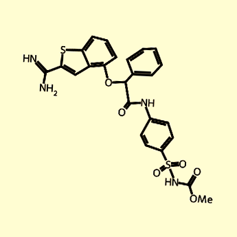 COC(=O)NS(=O)(=O)c1ccc(NC(=O)C(Oc2cccc3sc(C(=N)N)cc23)c2ccccc2)cc1